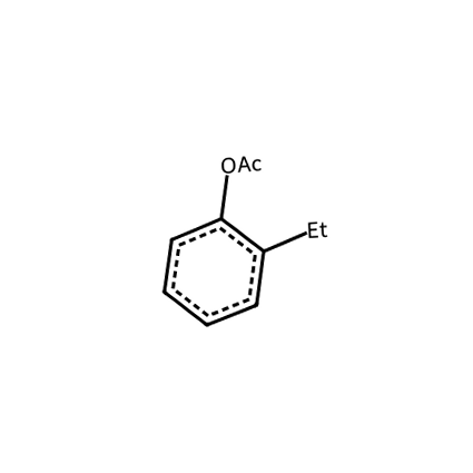 [CH2]Cc1ccccc1OC(C)=O